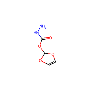 NNC(=O)OC1OC=CO1